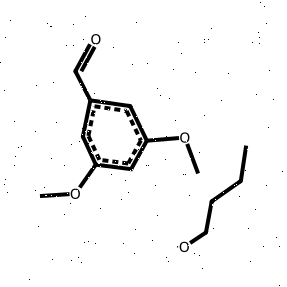 CCCC[O].COc1cc(C=O)cc(OC)c1